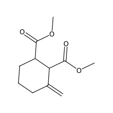 C=C1CCCC(C(=O)OC)C1C(=O)OC